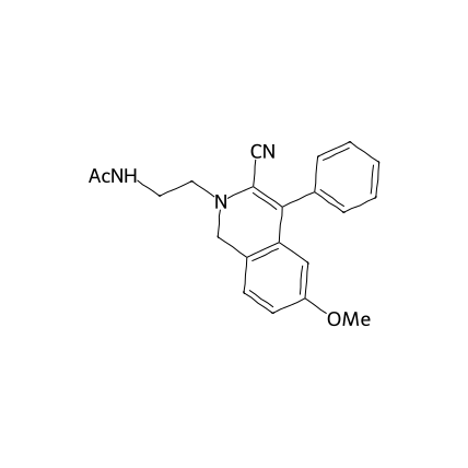 COc1ccc2c(c1)C(c1ccccc1)=C(C#N)N(CCNC(C)=O)C2